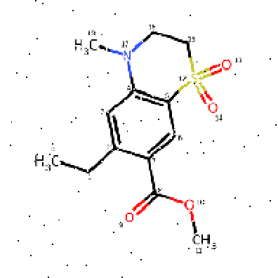 CCc1cc2c(cc1C(=O)OC)S(=O)(=O)CCN2C